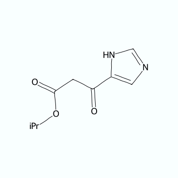 CC(C)OC(=O)CC(=O)c1cnc[nH]1